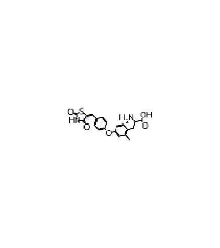 Cc1cc(Oc2ccc(/C=C3/SC(=O)NC3=O)cc2)ccc1CC(N)C(=O)O